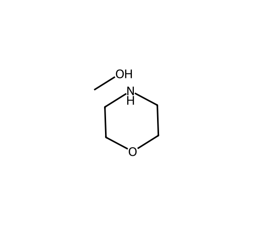 C1COCCN1.CO